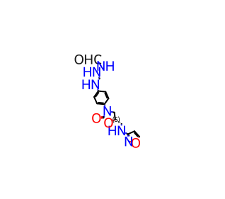 O=CNNCNc1ccc(N2C[C@H](CNc3ccon3)OC2=O)cc1